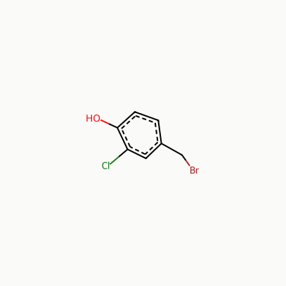 Oc1ccc(CBr)cc1Cl